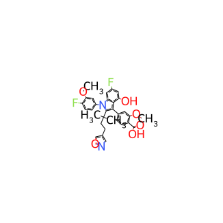 COc1cc(-n2c(C(C)(C)CCc3cnoc3)c(-c3ccc(C(=O)O)c(OC)c3)c3c(O)cc(F)cc32)ccc1F